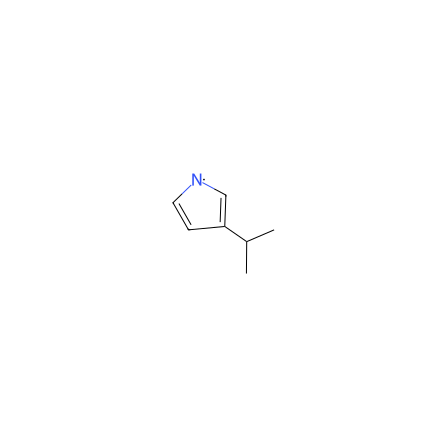 CC(C)C1=C[N]C=C1